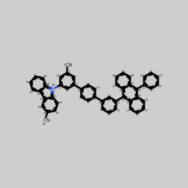 N#Cc1cc(-c2ccc(-c3cccc(-c4c5ccccc5c(-c5ccccc5)c5ccccc45)c3)cc2)cc(-n2c3ccccc3c3cc(C#N)ccc32)c1